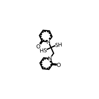 O=c1ccccn1CC(S)(S)n1ccccc1=O